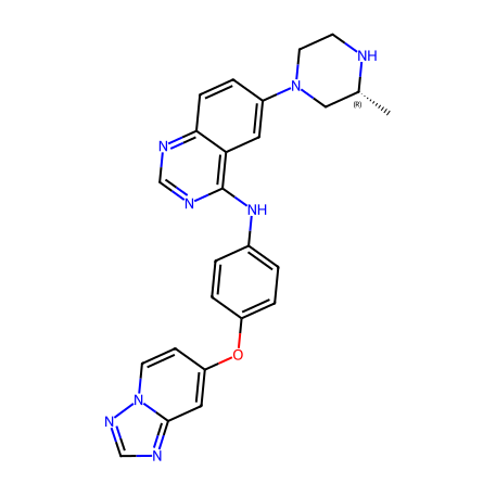 C[C@@H]1CN(c2ccc3ncnc(Nc4ccc(Oc5ccn6ncnc6c5)cc4)c3c2)CCN1